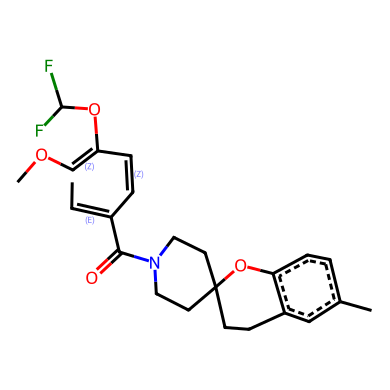 C\C=C(/C=C\C(=C\OC)OC(F)F)C(=O)N1CCC2(CCc3cc(C)ccc3O2)CC1